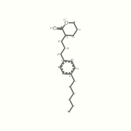 CCCCCCc1ccc(CCCC2CCCOC2=O)cc1